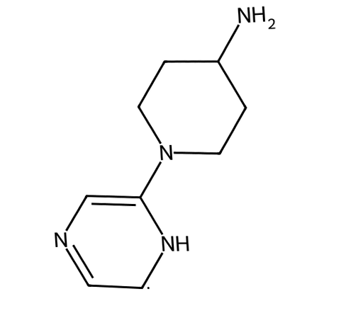 NC1CCN(C2=CN=C[CH]N2)CC1